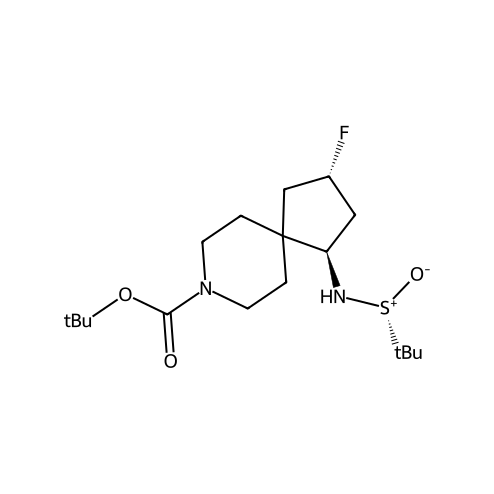 CC(C)(C)OC(=O)N1CCC2(CC1)C[C@H](F)C[C@H]2N[S@+]([O-])C(C)(C)C